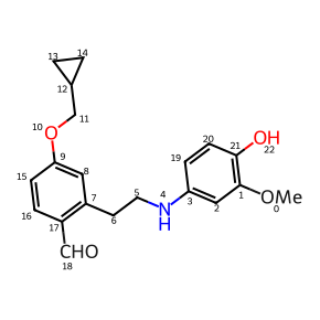 COc1cc(NCCc2cc(OCC3CC3)ccc2C=O)ccc1O